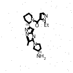 CCn1nccc1C(=O)N1CCCC[C@H]1c1cc2nc(N3CC[C@H](N)C3)c(C)cn2n1